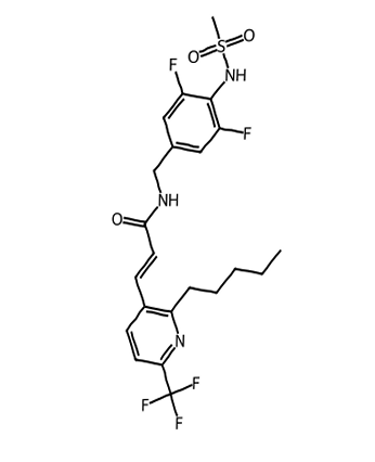 CCCCCc1nc(C(F)(F)F)ccc1/C=C/C(=O)NCc1cc(F)c(NS(C)(=O)=O)c(F)c1